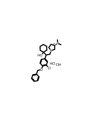 CN(C)[C@@H]1CCN(CC(c2ccc(OCc3ccccc3)c(Cl)c2)C2(O)CCCCC2)C1.Cl.Cl